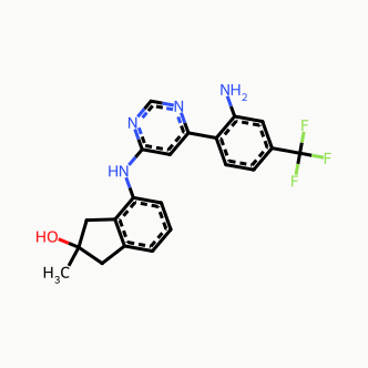 CC1(O)Cc2cccc(Nc3cc(-c4ccc(C(F)(F)F)cc4N)ncn3)c2C1